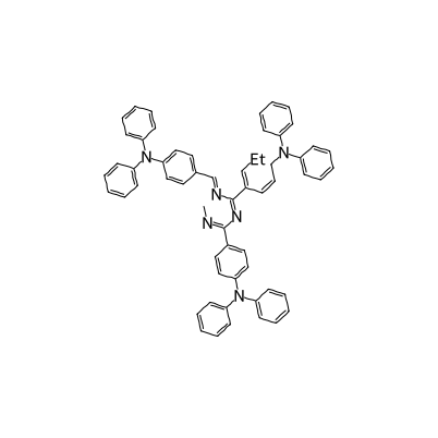 CC/C=C(\C=C/CN(c1ccccc1)c1ccccc1)C(=N/C(=N\C)c1ccc(N(c2ccccc2)c2ccccc2)cc1)/N=C/c1ccc(N(c2ccccc2)c2ccccc2)cc1